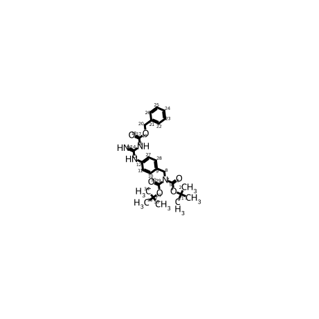 CC(C)(C)OC(=O)N(Cc1ccc(NC(=N)NC(=O)OCc2ccccc2)cc1)C(=O)OC(C)(C)C